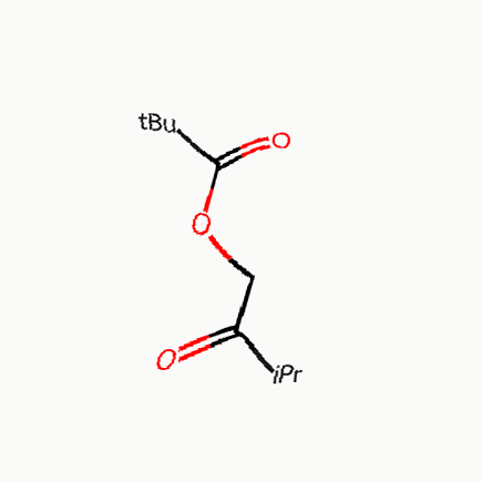 CC(C)C(=O)COC(=O)C(C)(C)C